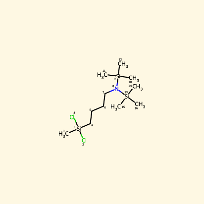 C[Si](Cl)(Cl)CCCCN([Si](C)(C)C)[Si](C)(C)C